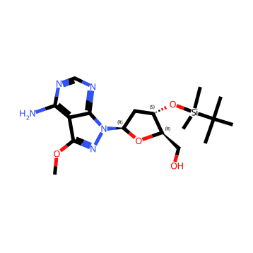 COc1nn([C@H]2C[C@H](O[Si](C)(C)C(C)(C)C)[C@@H](CO)O2)c2ncnc(N)c12